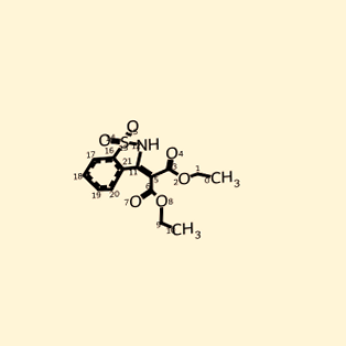 CCOC(=O)C(C(=O)OCC)=C1NS(=O)(=O)c2ccccc21